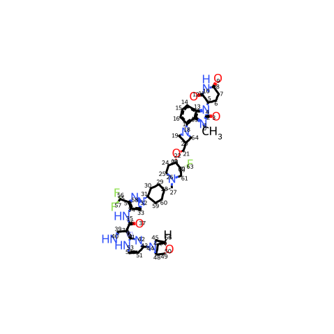 Cn1c(=O)n(C2CCC(=O)NC2=O)c2cccc(N3CC(CO[C@H]4CCN(C[C@H]5CC[C@H](n6cc(NC(=O)/C(C=N)=C7\N=C(N8C[C@H]9CC8CO9)C=CN7)c(C(F)F)n6)CC5)C[C@H]4F)C3)c21